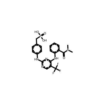 CN(C)C(=O)c1ccccc1Nc1nc(Nc2ccc(CP(=O)(O)O)cc2)ncc1C(F)(F)F